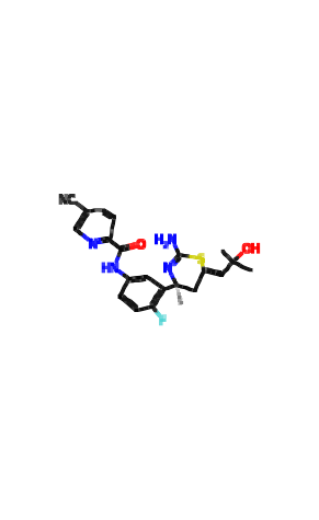 CC(C)(O)/C=C1/C[C@@](C)(c2cc(NC(=O)c3ccc(C#N)cn3)ccc2F)N=C(N)S1